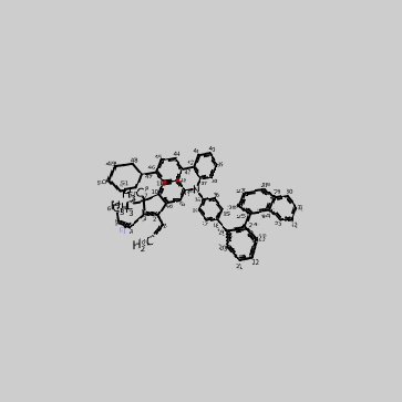 C=CC1=C(/C=C\C)C(C)(C)c2ccc(N(c3ccc(-c4ccccc4-c4cccc5ccccc45)cc3)c3ccccc3-c3ccc(C4CCCCC4)cc3)cc21